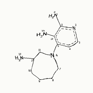 Nc1nccc(N2CCCCC(N)C2)c1N